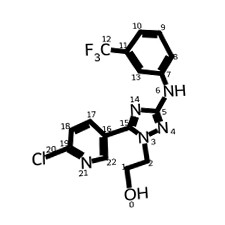 OCCn1nc(Nc2cccc(C(F)(F)F)c2)nc1-c1ccc(Cl)nc1